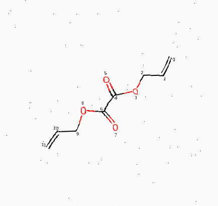 C=CCOC(=O)C(=O)OCC=C